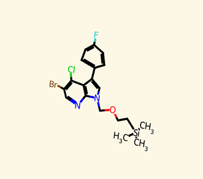 C[Si](C)(C)CCOCn1cc(-c2ccc(F)cc2)c2c(Cl)c(Br)cnc21